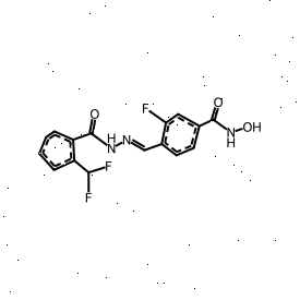 O=C(NO)c1ccc(/C=N/NC(=O)c2ccccc2C(F)F)c(F)c1